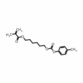 C=C(C)C(=O)OCCCCCCOC(=O)Oc1ccc(C)cc1